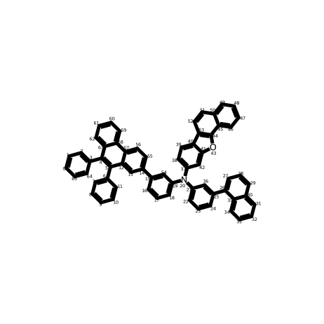 c1ccc(-c2c(-c3ccccc3)c3cc(-c4cccc(N(c5cccc(-c6cccc7ccccc67)c5)c5ccc6c(c5)oc5c7ccccc7ccc65)c4)ccc3c3ccccc23)cc1